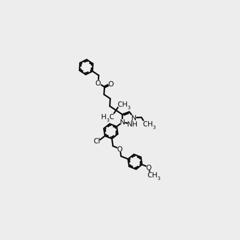 CCN1C=C(C(C)(C)CCCC(=O)OCc2ccccc2)N(c2ccc(Cl)c(COCc3ccc(OC)cc3)c2)N1